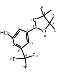 CC1(C)OB(c2cc(O)cc(C(F)(F)F)c2)OC1(C)C